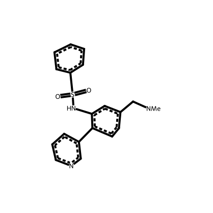 CNCc1ccc(-c2cccnc2)c(NS(=O)(=O)c2ccccc2)c1